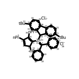 CCCC1=CC(CCC)[C]([Zr+2](=[C](c2ccccc2)c2ccccc2)[CH]2c3cc(C(C)(C)C)ccc3-c3ccc(C(C)(C)C)cc32)=C1CCC.[Cl-].[Cl-]